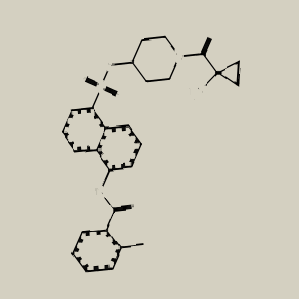 Cc1ccccc1C(=O)Nc1cccc2c(S(=O)(=O)NC3CCN(C(=O)C4(N)CC4)CC3)cccc12